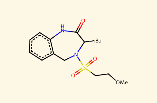 CCC(C)C1C(=O)Nc2ccccc2CN1S(=O)(=O)CCOC